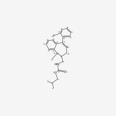 CC(C)COC(=O)NCC1CN=C(c2ccccc2F)c2ccccc2N1C